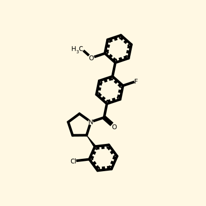 COc1ccccc1-c1ccc(C(=O)N2CCC[C@@H]2c2ccccc2Cl)cc1F